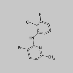 Cc1ccc(Br)c(Nc2cccc(F)c2Cl)n1